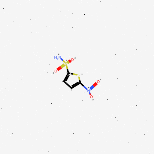 NS(=O)(=O)c1ccc([N+](=O)[O-])s1